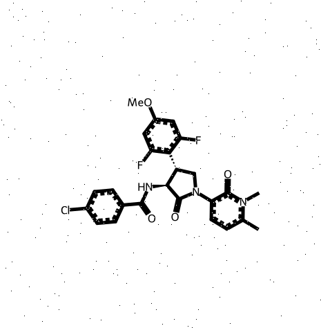 COc1cc(F)c([C@@H]2CN(c3ccc(C)n(C)c3=O)C(=O)[C@H]2NC(=O)c2ccc(Cl)cc2)c(F)c1